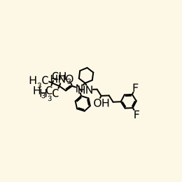 CC(C)(C)C1(C)C=C(N(c2ccccc2)C2(NCC(O)CCc3cc(F)cc(F)c3)CCCCC2)ON1